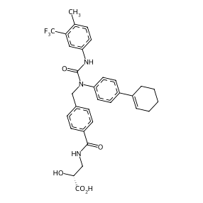 Cc1ccc(NC(=O)N(Cc2ccc(C(=O)NC[C@@H](O)C(=O)O)cc2)c2ccc(C3=CCCCC3)cc2)cc1C(F)(F)F